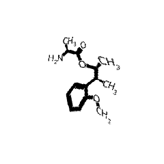 COc1ccccc1[C@H](C)[C@H](C)OC(=O)[C@H](C)N